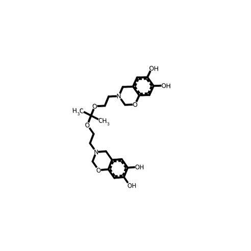 CC(C)(OCCN1COc2cc(O)c(O)cc2C1)OCCN1COc2cc(O)c(O)cc2C1